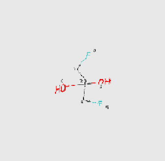 OC(O)(CF)CF